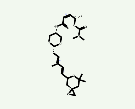 CC(/C=C/C1C[C@]2(CO2)CC(C)(C)O1)=C\C[C@H]1OC[C@@H](NC(=O)/C=C\[C@H](C)OC(=O)N(C)C)CO1